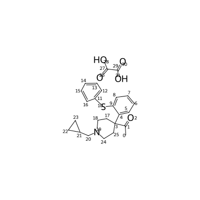 CC(=O)C1(c2ccccc2Sc2ccccc2)CCN(CC2CC2)CC1.O=C(O)C(=O)O